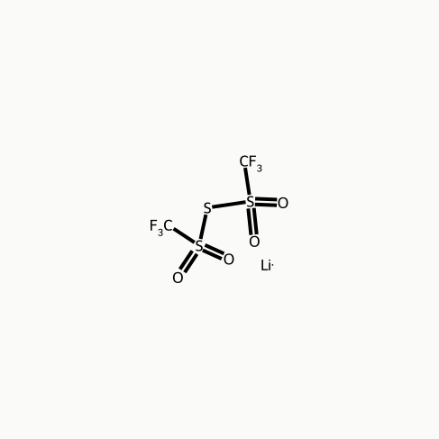 O=S(=O)(SS(=O)(=O)C(F)(F)F)C(F)(F)F.[Li]